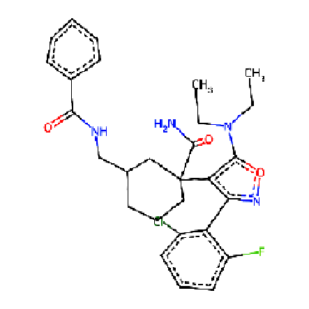 CCN(CC)c1onc(-c2c(F)cccc2Cl)c1C1(C(N)=O)CCCC(CNC(=O)c2ccccc2)C1